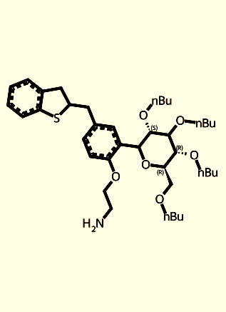 CCCCOC[C@H]1OC(c2cc(CC3Cc4ccccc4S3)ccc2OCCN)[C@H](OCCCC)C(OCCCC)[C@@H]1OCCCC